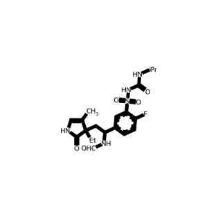 CCC1(CC(NC=O)c2ccc(F)c(S(=O)(=O)NC(=O)NC(C)C)c2)C(=O)NC=C1C